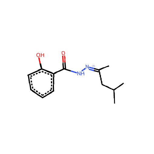 C/C(CC(C)C)=N/NC(=O)c1ccccc1O